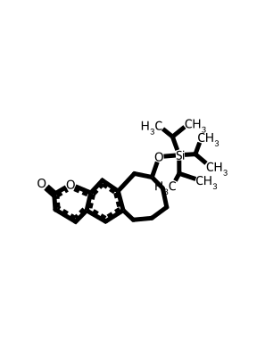 CC(C)[Si](OC1CCCCc2cc3ccc(=O)oc3cc2C1)(C(C)C)C(C)C